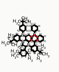 CC1(C)CCC(C)(C)C2=C1SC1B3C4=C(C=C(N(c5ccccc5)c5ccccc5)CC4N(c4ccc(C(C)(C)C)cc4)c4ccc(C(C)(C)C)cc43)N(c3ccc(C(C)(C)C)cc3C3=CCCC=C3)C21